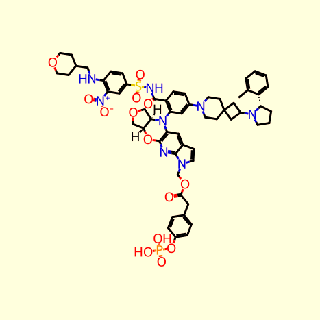 Cc1ccccc1[C@@H]1CCCN1C1CC2(CCN(c3ccc(C(=O)NS(=O)(=O)c4ccc(NCC5CCOCC5)c([N+](=O)[O-])c4)c(N4c5cc6ccn(COC(=O)Cc7ccc(OP(=O)(O)O)cc7)c6nc5O[C@@H]5COC[C@H]54)c3)CC2)C1